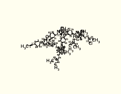 CC#Cc1ccc(N(CC)CCOc2ccc(/C=N/N(C)P(=S)(Oc3ccc(/C=N/N(C)P(=S)(NCCN(CC)CC)NCCN(CC)CC)cc3)Oc3ccc(/C=N/N(C)P(=S)(NCCN(CC)CC)NCCN(CC)CCl)cc3)cc2)cc1